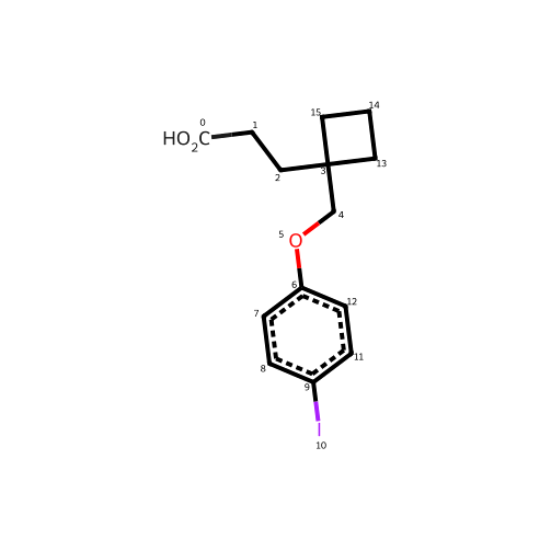 O=C(O)CCC1(COc2ccc(I)cc2)CCC1